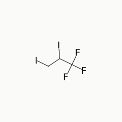 FC(F)(F)C(I)CI